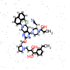 C=Cc1cccc(C(O)C(O)CCN2CCC[C@H]2COc2nc3c(c(N4CCN(C(O)C=C)[C@@H](CC#N)C4)n2)CCN(c2cccc4cccc(Cl)c24)C3)c1